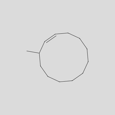 CC1C=CCCCCCCCCC1